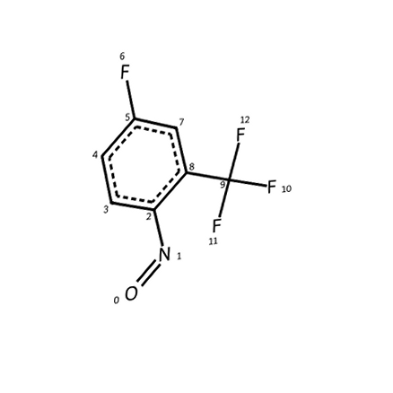 O=Nc1ccc(F)cc1C(F)(F)F